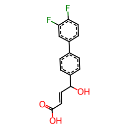 O=C(O)C=CC(O)c1ccc(-c2ccc(F)c(F)c2)cc1